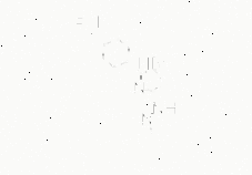 Br.FC(F)(F)c1ccc(-c2csc(NN=C3CCCC3)n2)cc1